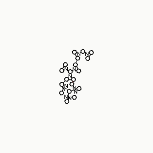 c1ccc(-n2c(-c3cc(-c4nc5ccccc5n4-c4ccccc4)cc(-c4nc5c(-c6ccc7c(c6)c6ccccc6n7-c6cc(-n7c8ccccc8c8ccccc87)cc(-n7c8ccccc8c8cc(-c9ccc%10c(c9)c9ccccc9n%10-c9cccc(-n%10c%11ccccc%11c%11ccccc%11%10)c9)ccc87)c6)cccc5n4-c4ccccc4)c3)nc3ccccc32)cc1